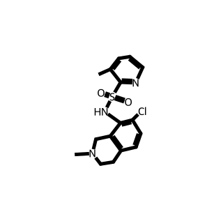 Cc1cccnc1S(=O)(=O)Nc1c(Cl)ccc2c1CN(C)CC2